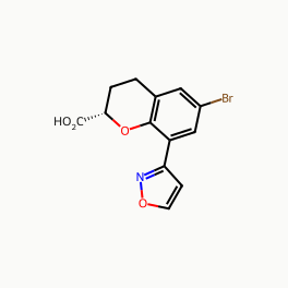 O=C(O)[C@@H]1CCc2cc(Br)cc(-c3ccon3)c2O1